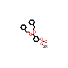 CC(C)(C)OC(=O)Oc1cccc(C(OCCc2ccccc2)OCCc2ccccc2)c1